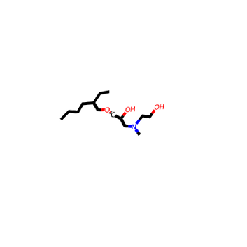 CCCCC(CC)COCC(O)CN(C)CCO